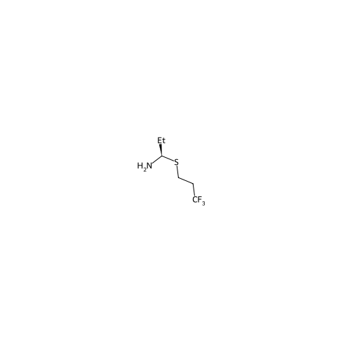 CC[C@H](N)SCCC(F)(F)F